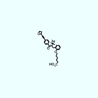 [2H]C(C)(C)N(Cc1ccccc1OCCCCCC(=O)O)C(=O)c1ccc(C#CC2CCO2)cc1